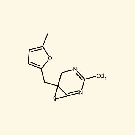 Cc1ccc(CC23C4=NC(C(Cl)(Cl)Cl)=NC2N43)o1